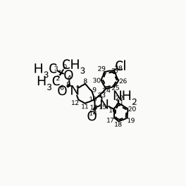 CC(C)(C)OC(=O)N1CCC2(CC1)C(=O)N(c1ccccc1N)C2c1ccc(Cl)cc1